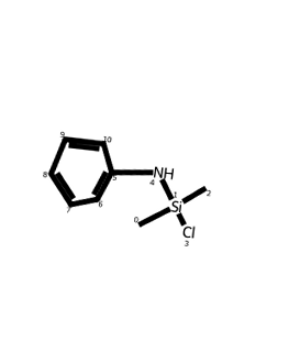 C[Si](C)(Cl)Nc1ccccc1